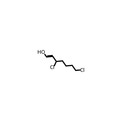 OC=CC(Cl)CCCCCl